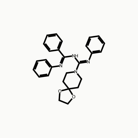 c1ccc(/N=C(/N/C(=N\c2ccccc2)N2CCC3(CC2)OCCO3)c2ccccc2)cc1